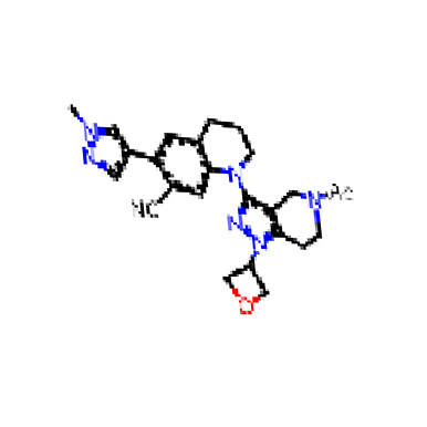 CC(=O)N1CCc2c(c(N3CCCc4cc(-c5cnn(C)c5)c(C#N)cc43)nn2C2COC2)C1